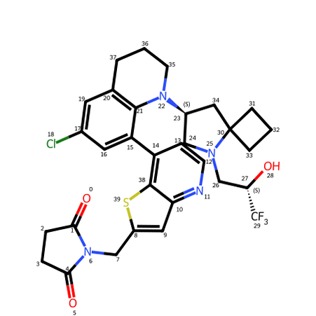 O=C1CCC(=O)N1Cc1cc2nccc(-c3cc(Cl)cc4c3N([C@@H]3CN(C[C@H](O)C(F)(F)F)C5(CCC5)C3)CCC4)c2s1